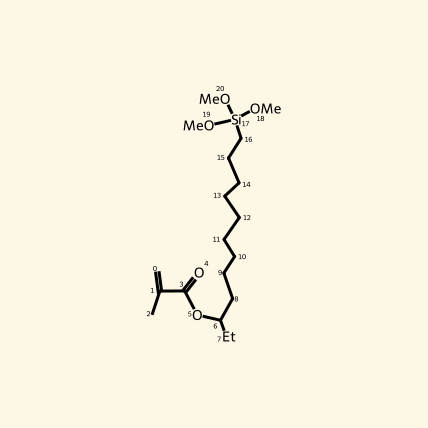 C=C(C)C(=O)OC(CC)CCCCCCCCC[Si](OC)(OC)OC